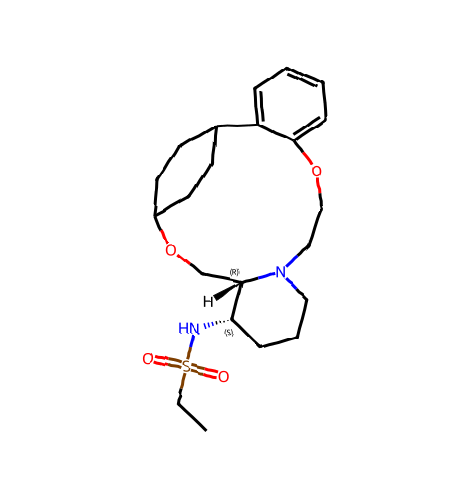 CCS(=O)(=O)N[C@H]1CCCN2CCOc3ccccc3C3CCC(CC3)OC[C@@H]12